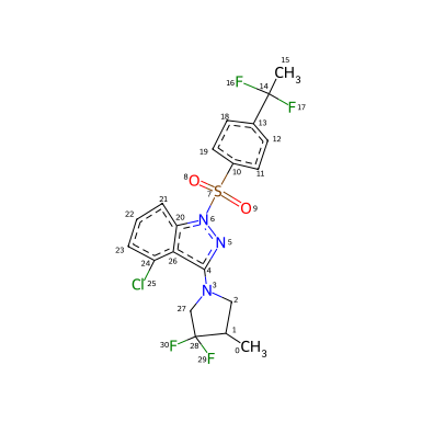 CC1CN(c2nn(S(=O)(=O)c3ccc(C(C)(F)F)cc3)c3cccc(Cl)c23)CC1(F)F